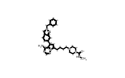 CNC(=O)N1CCN(CCCCc2cc(-c3ccc4cn(Cc5ccccc5)nc4c3)c3c(N)ncnn23)CC1